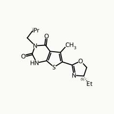 CC[C@H]1COC(c2sc3[nH]c(=O)n(CC(C)C)c(=O)c3c2C)=N1